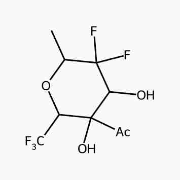 CC(=O)C1(O)C(C(F)(F)F)OC(C)C(F)(F)C1O